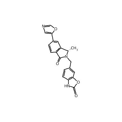 C[C@H]1c2cc(-c3cnco3)ccc2C(=O)N1Cc1ccc2[nH]c(=O)oc2c1